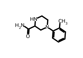 Cc1ccccc1N1CCNC(C(N)=O)C1